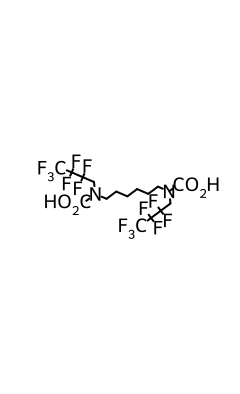 O=C(O)N(CCCCCCN(CC(F)(F)C(F)(F)C(F)(F)F)C(=O)O)CC(F)(F)C(F)(F)C(F)(F)F